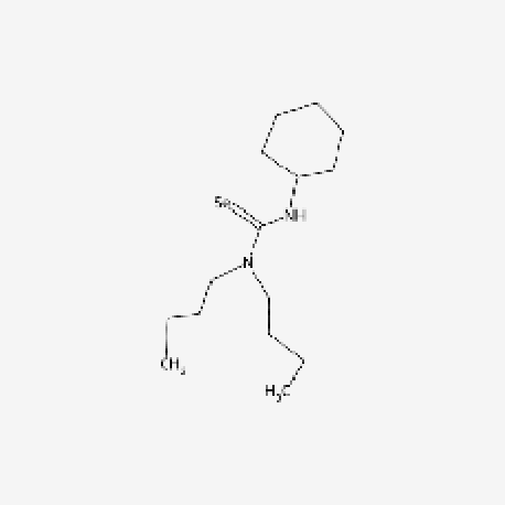 CCCCN(CCCC)C(=[Se])NC1CCCCC1